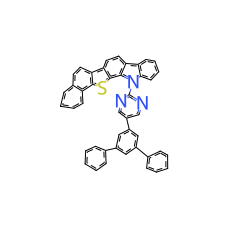 c1ccc(-c2cc(-c3ccccc3)cc(-c3cnc(-n4c5ccccc5c5ccc6c7ccc8ccccc8c7sc6c54)nc3)c2)cc1